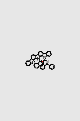 c1ccc(-c2nc(-n3c4ccccc4c4ccc5c6ccc7c8ccccc8oc7c6n(-c6cccc7ccccc67)c5c43)nc3ccccc23)cc1